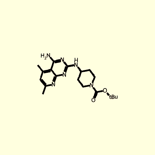 Cc1cc(C)c2c(N)nc(NC3CCN(C(=O)OC(C)(C)C)CC3)nc2n1